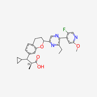 CCc1nc(C2CCc3ccc(C(C4CC4)[C@H](C)C(=O)O)cc3O2)cnc1-c1cc(OC)ncc1F